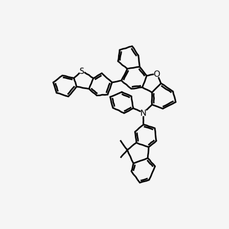 CC1(C)c2ccccc2-c2ccc(N(c3ccccc3)c3cccc4oc5c6ccccc6c(-c6ccc7c(c6)sc6ccccc67)cc5c34)cc21